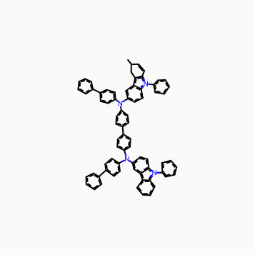 CC1C=Cc2c(c3cc(N(c4ccc(-c5ccccc5)cc4)c4ccc(-c5ccc(N(c6ccc(-c7ccccc7)cc6)c6ccc7c(c6)c6ccccc6n7-c6ccccc6)cc5)cc4)ccc3n2-c2ccccc2)C1